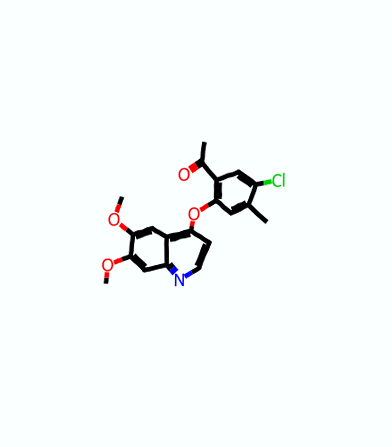 COc1cc2nccc(Oc3cc(C)c(Cl)cc3C(C)=O)c2cc1OC